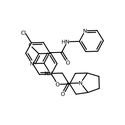 O=C(Nc1ccccn1)c1cc(Cl)cnc1NCC(=O)N1C2CCC1CC(Oc1ccc(F)cc1)C2